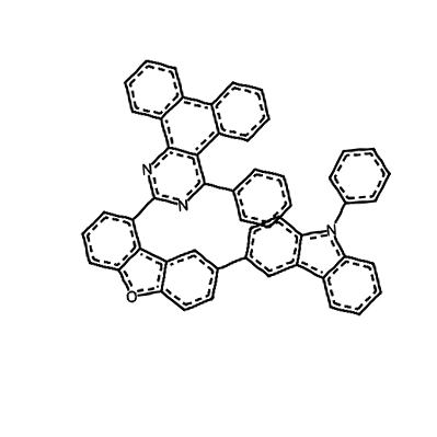 c1ccc(-c2nc(-c3cccc4oc5ccc(-c6ccc7c(c6)c6ccccc6n7-c6ccccc6)cc5c34)nc3c4ccccc4c4ccccc4c23)cc1